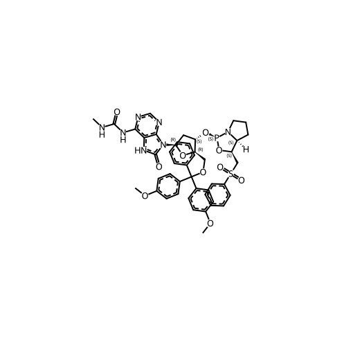 CNC(=O)Nc1ncnc2c1[nH]c(=O)n2[C@H]1C[C@H](O[P@]2O[C@H](CS(=O)(=O)c3ccccc3)[C@@H]3CCCN32)[C@@H](COC(c2ccccc2)(c2ccc(OC)cc2)c2ccc(OC)cc2)O1